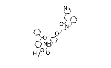 COC(=O)C(Cc1ccc(OCCCN(Cc2ccccc2)C(=O)C=Cc2cccnc2)cc1)Nc1ccccc1C(=O)c1ccccc1